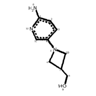 Nc1ccc(N2CC(CO)C2)cn1